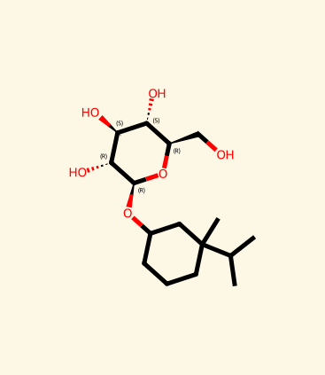 CC(C)C1(C)CCCC(O[C@@H]2O[C@H](CO)[C@@H](O)[C@H](O)[C@H]2O)C1